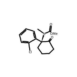 [CH2]OC(=O)N(C)[C@]1(c2ccccc2Cl)CCCCC1=O